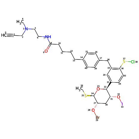 C#CCN(C)CCNC(=O)CCCCc1ccc(Cc2cc([C@@H]3O[C@H](SC)[C@@H](OBr)C[C@H]3OI)ccc2SCl)cc1